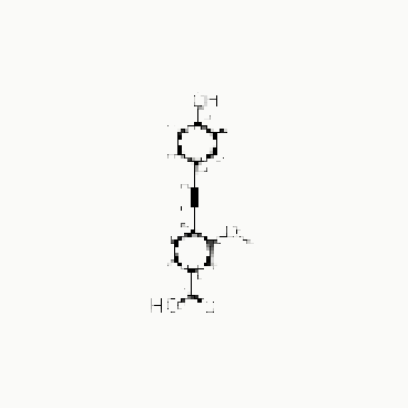 COc1cc(C(=O)O)ccc1C#Cc1ccc(O)cc1